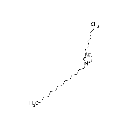 CCCCCCCCCCCCCCn1cc[n+](CCCCCCC)c1